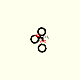 CC(C(=O)OC1CCCCCCCCC1)=C(C1(O)CCCCCCCCC1)C1(O)CCCCCCCCC1